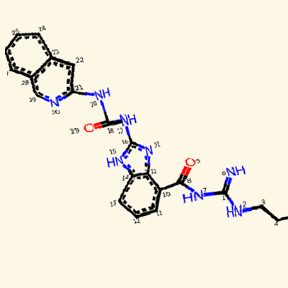 N=C(NCCCO)NC(=O)c1cccc2[nH]c(NC(=O)Nc3cc4ccccc4cn3)nc12